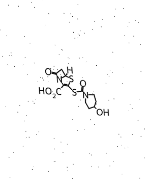 O=C(O)C1=C(SC(=O)N2CCC(O)CC2)S[C@H]2CC(=O)N12